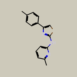 Cc1ccc(-c2csc(Nc3cccc(C)n3)n2)cc1